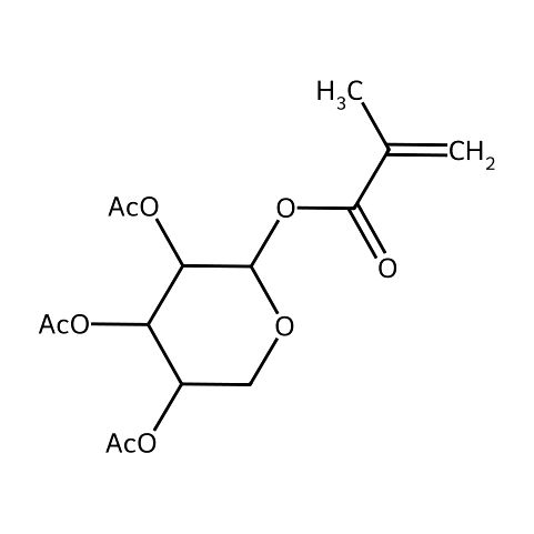 C=C(C)C(=O)OC1OCC(OC(C)=O)C(OC(C)=O)C1OC(C)=O